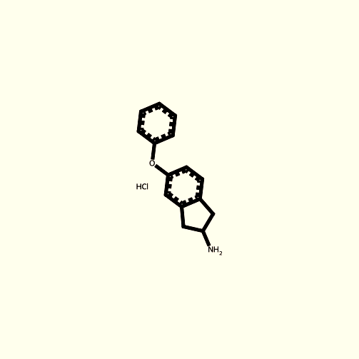 Cl.NC1Cc2ccc(Oc3ccccc3)cc2C1